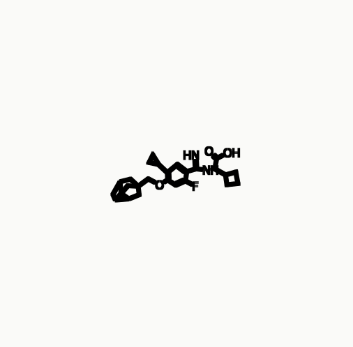 N=C(N[C@H](C(=O)O)C1CCC1)c1cc(C2CC2)c(OCC23CC4CC(C2)C(C4)C3)cc1F